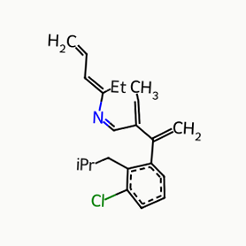 C=C/C=C(CC)/N=C\C(=C/C)C(=C)c1cccc(Cl)c1CC(C)C